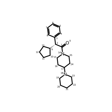 O=C([C@@H](c1ccccc1)C1CCCC1)N1CCC(N2CCCCC2)CC1